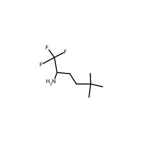 CC(C)(C)CCC(N)C(F)(F)F